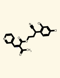 CC(=O)/C(=C/c1cccnc1)C(=O)OCCC(C#N)c1ccc(Cl)cc1Cl